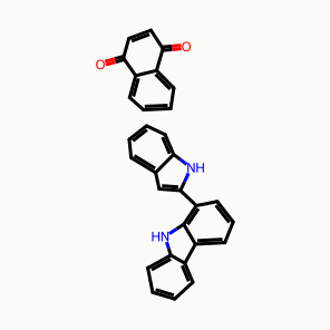 O=C1C=CC(=O)c2ccccc21.c1ccc2[nH]c(-c3cccc4c3[nH]c3ccccc34)cc2c1